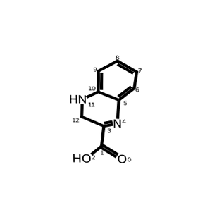 O=C(O)C1=Nc2ccccc2NC1